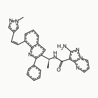 C[C@H](NC(=O)c1c(N)nn2cccnc12)c1cc2cccc(/C=C\c3cnn(C)c3)c2nc1-c1ccccc1